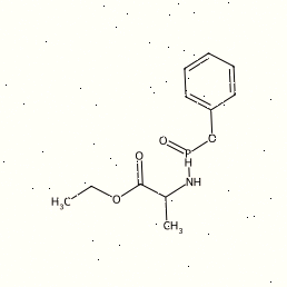 CCOC(=O)C(C)N[PH](=O)Oc1ccccc1